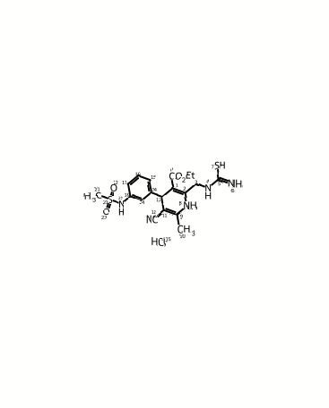 CCOC(=O)C1=C(CNC(=N)S)NC(C)=C(C#N)C1c1cccc(NS(C)(=O)=O)c1.Cl